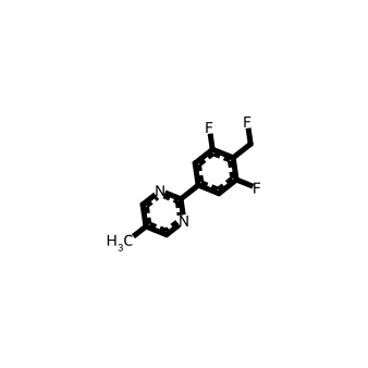 Cc1cnc(-c2cc(F)c(CF)c(F)c2)nc1